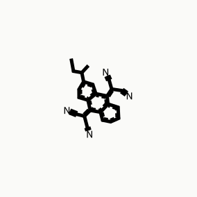 CCC(C)c1ccc2c(=C(C#N)C#N)c3ccccc3c(=C(C#N)C#N)c2c1